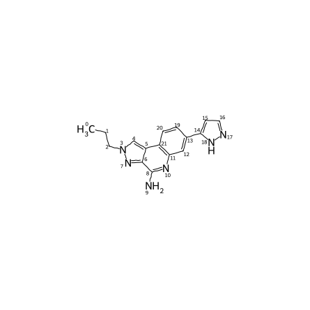 CCCn1cc2c(n1)c(N)nc1cc(-c3ccn[nH]3)ccc12